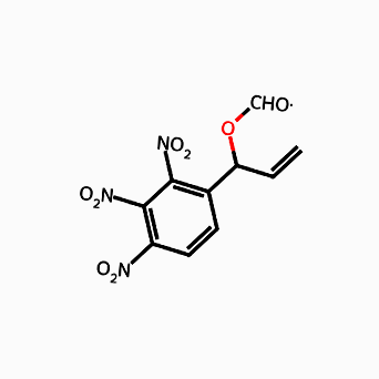 C=CC(O[C]=O)c1ccc([N+](=O)[O-])c([N+](=O)[O-])c1[N+](=O)[O-]